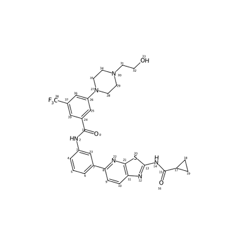 O=C(Nc1cccc(-c2ccc3nc(NC(=O)C4CC4)sc3n2)c1)c1cc(N2CCN(CCO)CC2)cc(C(F)(F)F)c1